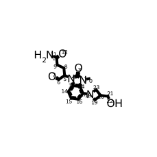 Cn1c(=O)n(C(C=O)CCC(N)=O)c2cccc(N3CC(CO)C3)c21